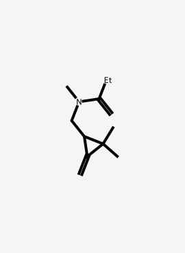 C=C(CC)N(C)CC1C(=C)C1(C)C